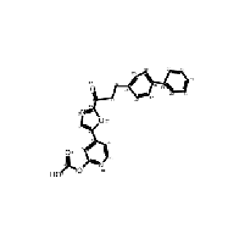 O=C(O)Oc1cc(-c2cnc(C(=O)CCc3ccc(-c4ccccc4)cc3)o2)ccn1